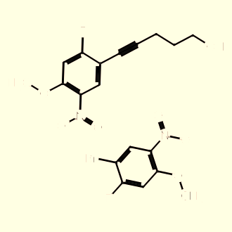 COc1cc(F)c(Br)cc1[N+](=O)[O-].COc1cc(F)c(C#CCCCO)cc1[N+](=O)[O-]